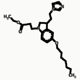 CCCCCCCOc1ccc2c(c1)C(CCn1ccnc1)CN2CCC(=O)OCC